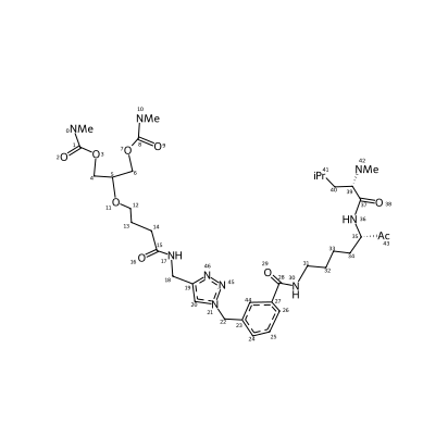 CNC(=O)OCC(COC(=O)NC)OCCCC(=O)NCc1cn(Cc2cccc(C(=O)NCCCC[C@H](NC(=O)[C@H](CC(C)C)NC)C(C)=O)c2)nn1